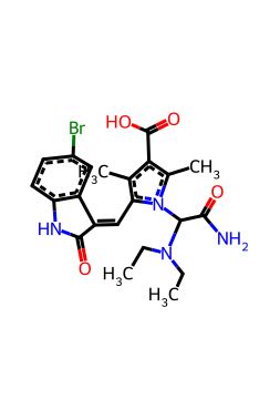 CCN(CC)C(C(N)=O)n1c(C)c(C(=O)O)c(C)c1C=C1C(=O)Nc2ccc(Br)cc21